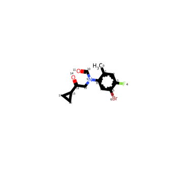 Cc1cc(F)c(Br)cc1N(C=O)CC(=O)C1CC1